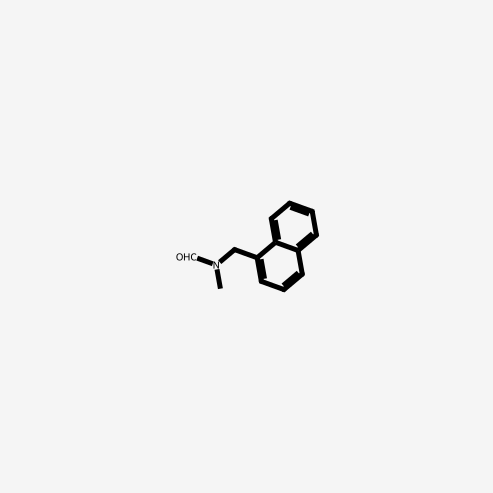 CN(C=O)Cc1cccc2ccccc12